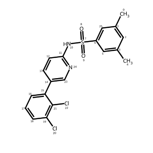 Cc1cc(C)cc(S(=O)(=O)Nc2ccc(-c3cccc(Cl)c3Cl)cn2)c1